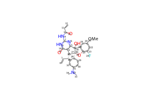 C=CC[C@@H]1c2c(nc(NC(=O)C=C)[nH]c2=O)[C@@]2(O)c3cc(OC)cc(F)c3O[C@@]12c1ccc(N(C)C)cc1